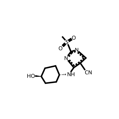 CS(=O)(=O)c1ncc(C#N)c(N[C@H]2CC[C@H](O)CC2)n1